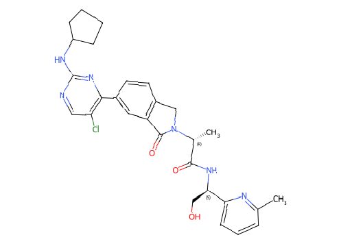 Cc1cccc([C@@H](CO)NC(=O)[C@@H](C)N2Cc3ccc(-c4nc(NC5CCCC5)ncc4Cl)cc3C2=O)n1